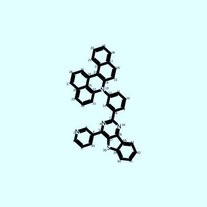 c1cncc(-c2nc(-c3cccc(N4c5ccc6ccccc6c5-c5cccc6cccc4c56)c3)nc3c2sc2ccccc23)c1